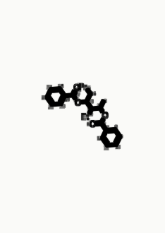 CCC(C(C)OC(=O)c1ccccc1)C(CC(C)C)OC(=O)c1ccccc1